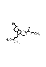 CCOC(=O)N1CCc2c(c3cc(Br)ccc3n2CC=C(C)C)C1